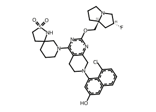 O=S1(=O)CCC2(CCCN(c3nc(OC[C@@]45CCCN4C[C@H](F)C5)nc4c3CCN(c3cc(O)cc5cccc(Cl)c35)C4)C2)N1